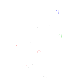 CCCC(=O)OC(=O)c1cccnc1Cl